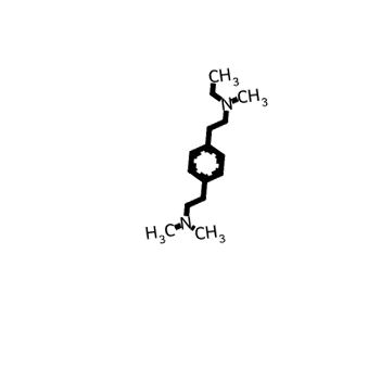 CCN(C)CCc1ccc(CCN(C)C)cc1